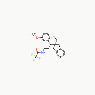 COc1ccc2c(c1)C(CCNC(=O)C(F)(F)F)C1(CC2)Cc2ccccc2C1